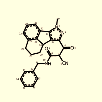 Cn1nc(C(=O)C(C#N)C(=O)NCc2ccccc2)c2c1-c1cccc3c1C2CCC3